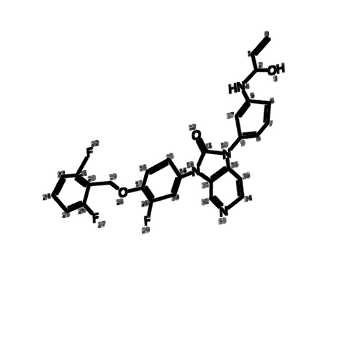 C=CC(O)Nc1cccc(-n2c(=O)n(-c3ccc(OCc4c(F)cccc4F)c(F)c3)c3cnccc32)c1